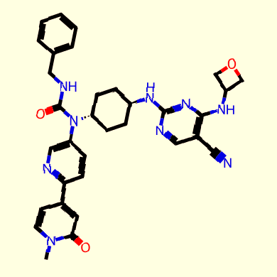 Cn1ccc(-c2ccc(N(C(=O)NCc3ccccc3)[C@H]3CC[C@H](Nc4ncc(C#N)c(NC5COC5)n4)CC3)cn2)cc1=O